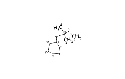 C[CH]C(C)(C)CC1CCCCC1